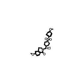 COc1ccc(S(=O)(=O)N2CCC(CN3CCc4cc(OC)ccc4C3=O)CC2)cc1.Cl